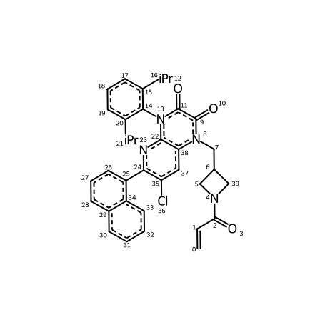 C=CC(=O)N1CC(Cn2c(=O)c(=O)n(-c3c(C(C)C)cccc3C(C)C)c3nc(-c4cccc5ccccc45)c(Cl)cc32)C1